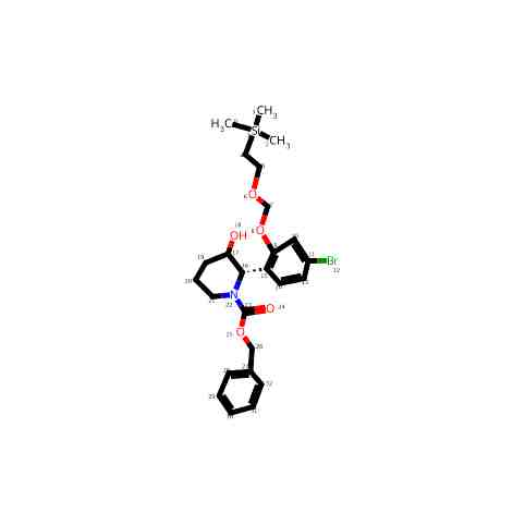 C[Si](C)(C)CCOCOc1cc(Br)ccc1[C@H]1C(O)CCCN1C(=O)OCc1ccccc1